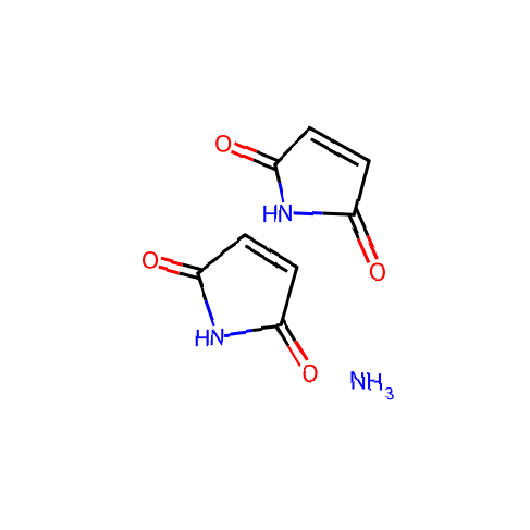 N.O=C1C=CC(=O)N1.O=C1C=CC(=O)N1